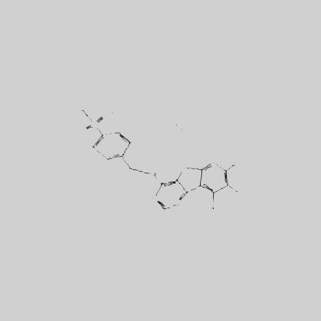 Cc1nc2oc3c(NCc4ccc(S(C)(=O)=O)cc4)ncnc3c2c(C)c1Cl.Cl